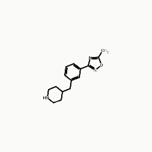 Cc1nc(-c2cccc(CC3CCNCC3)c2)no1